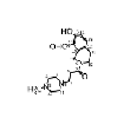 CN1CCN(CCC(=O)N2CCc3ccc(O)c(C=O)c3C2)CC1